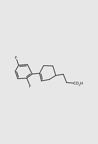 O=C(O)CCC1CC=C(c2cc(F)ccc2F)CC1